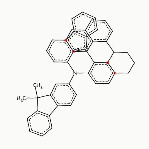 CC1(C)c2ccccc2-c2ccc(N(c3ccccc3-c3cccc4cccc(C5CCCCC5)c34)c3cccc4c3oc3ccccc34)cc21